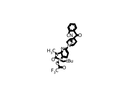 CN1C(=O)[N+](CC(C)(C)C)(OC(=O)C(F)(F)F)C2=CC=C(N3CC4CCC3CN4C(=O)c3ccccc3C#N)[N+]=C21